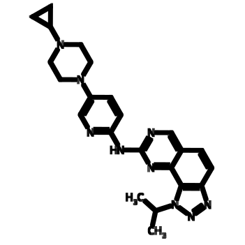 CC(C)n1nnc2ccc3cnc(Nc4ccc(N5CCN(C6CC6)CC5)cn4)nc3c21